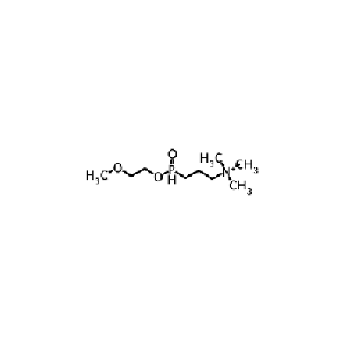 COCCO[PH](=O)CCC[N+](C)(C)C